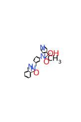 CC1(O)C(=O)N(c2cccc(Cn3ncc4ccccc4c3=O)c2)c2cnccc21